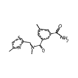 Cc1cc(C(N)=O)cc(C(=O)N(C)Cc2nc(C)cs2)c1